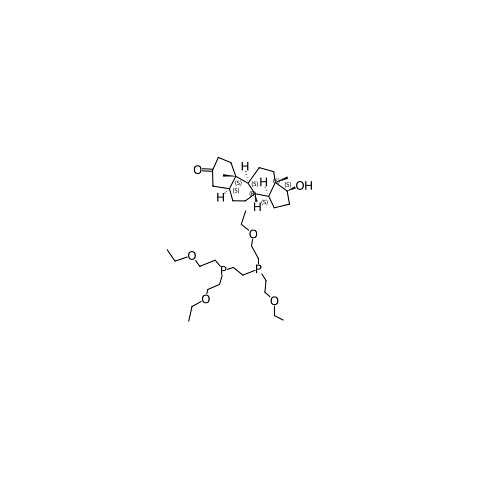 CCOCCP(CCOCC)CCP(CCOCC)CCOCC.C[C@]12CCC(=O)C[C@@H]1CC[C@@H]1[C@@H]2CC[C@]2(C)[C@@H](O)CC[C@@H]12